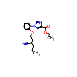 CCCC(C#N)CCOc1ccccc1-n1cnc(C(=O)OCC)c1